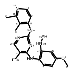 COc1ccc(Nc2nc(Nc3ccnc(C)c3C)ncc2Cl)c(NS)c1